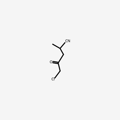 CC(C#N)CC(=O)CCl